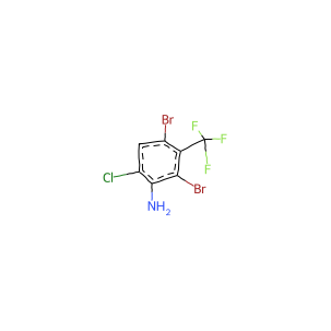 Nc1c(Cl)cc(Br)c(C(F)(F)F)c1Br